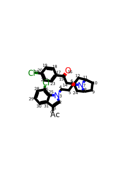 CC(=O)c1cn(CCCN2C3CCC2CC(CC(=O)c2ccc(Cl)cc2)C3)c2c(Cl)cccc12